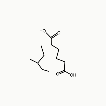 CCC(C)CC.O=C(O)CCCCC(=O)O